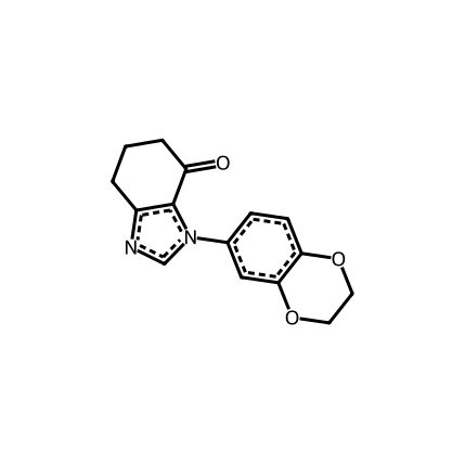 O=C1CCCc2ncn(-c3ccc4c(c3)OCCO4)c21